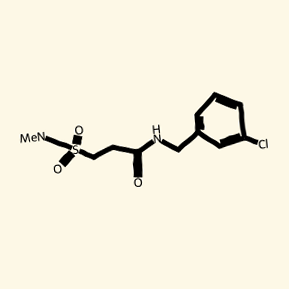 CNS(=O)(=O)CCC(=O)NCc1cccc(Cl)c1